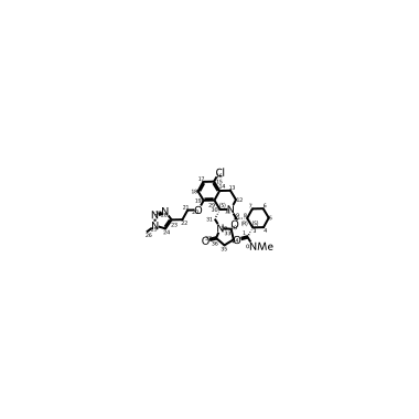 CNC(=O)[C@H]1CCCC[C@H]1C(=O)N1CCc2c(Cl)ccc(OCCc3cn(C)nn3)c2[C@H]1CN1CCCC1=O